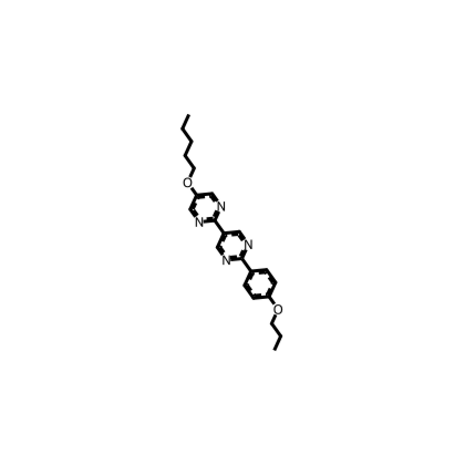 CCCCCOc1cnc(-c2cnc(-c3ccc(OCCC)cc3)nc2)nc1